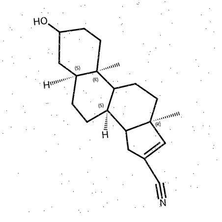 C[C@@]12CCC(O)C[C@@H]1CC[C@H]1C2CC[C@@]2(C)C=C(C#N)CC12